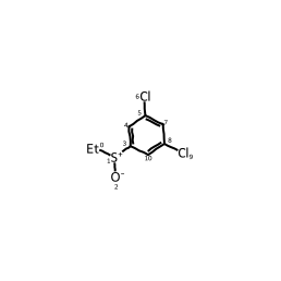 CC[S+]([O-])c1cc(Cl)cc(Cl)c1